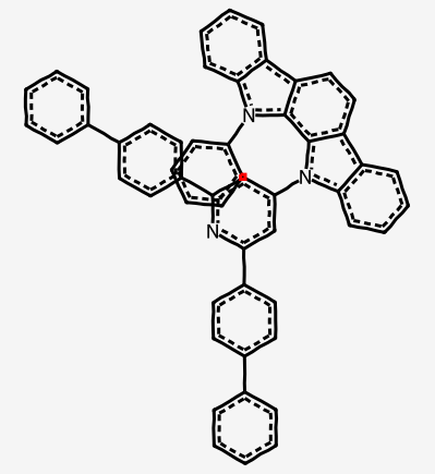 c1ccc(-c2ccc(-c3cc(-n4c5ccccc5c5ccc6c7ccccc7n(-c7ccccc7)c6c54)cc(-c4ccc(-c5ccccc5)cc4)n3)cc2)cc1